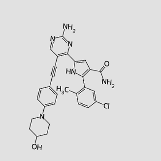 Cc1ccc(Cl)cc1-c1[nH]c(-c2nc(N)ncc2C#Cc2ccc(N3CCC(O)CC3)cc2)cc1C(N)=O